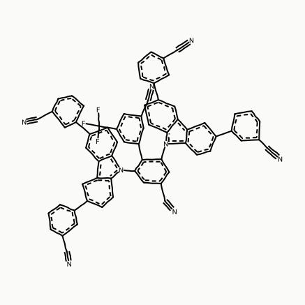 N#Cc1cccc(-c2ccc3c(c2)c2cc(-c4cccc(C#N)c4)ccc2n3-c2cc(C#N)cc(-n3c4ccc(-c5cccc(C#N)c5)cc4c4cc(-c5cccc(C#N)c5)ccc43)c2-c2cc(C#N)cc(C(F)(F)F)c2)c1